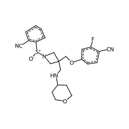 N#Cc1ccc(OCC2(CNC3CCOCC3)CN([S+]([O-])c3ccccc3C#N)C2)cc1F